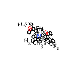 Cc1cccc(-c2cc3c(c4c2oc2ccccc24)-c2ccc(N(c4ccc5c(c4)C(C)(C)c4c-5c5c(c6c4C(C)(C)c4ccccc4-6)-c4ccccc4CO5)c4cccc5c4-c4ccccc4C5(C)C)cc2C3(C)C)c1